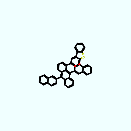 c1ccc2cc(-c3c4ccccc4c(-c4ccc5ccccc5c4)c4c(-c5ccc6sc7ccccc7c6c5)cccc34)ccc2c1